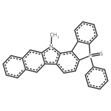 Cn1c2cc3ccccc3cc2c2ccc3c(c21)-c1ccccc1P3(=S)c1ccccc1